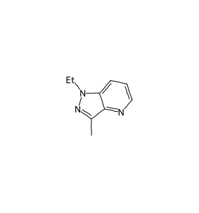 CCn1nc(C)c2ncccc21